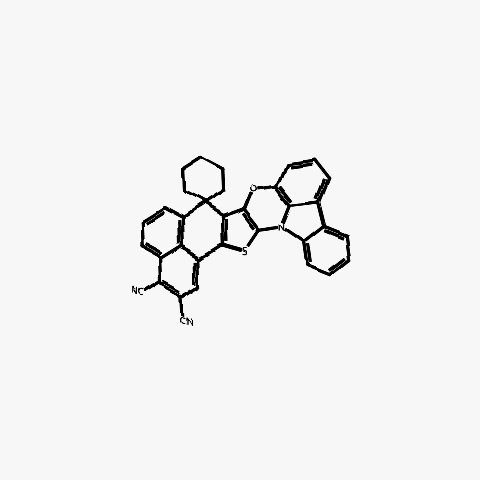 N#Cc1cc2c3c(cccc3c1C#N)C1(CCCCC1)c1c-2sc2c1Oc1cccc3c4ccccc4n-2c13